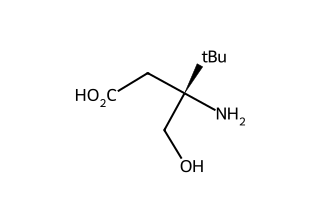 CC(C)(C)[C@@](N)(CO)CC(=O)O